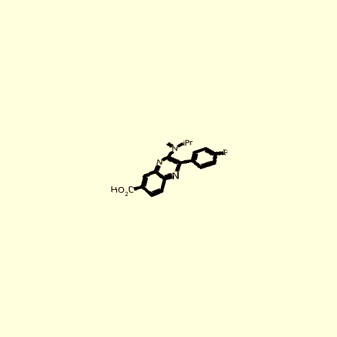 CC(C)N(C)c1nc2cc(C(=O)O)ccc2nc1-c1ccc(F)cc1